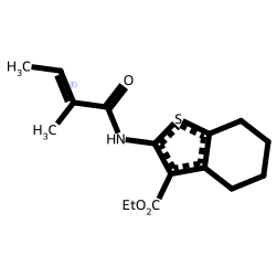 C/C=C(\C)C(=O)Nc1sc2c(c1C(=O)OCC)CCCC2